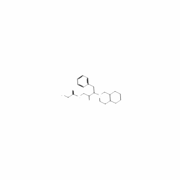 O=C(CBr)NCC(O)C(Cc1ccccc1)N1CCC2CCCCC2C1